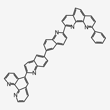 c1ccc(-c2ccc3ccc4ccc(-c5ccc6cc(-c7ccc8nc(-c9cc%10cccnc%10c%10ncccc9%10)ccc8c7)ccc6n5)nc4c3n2)cc1